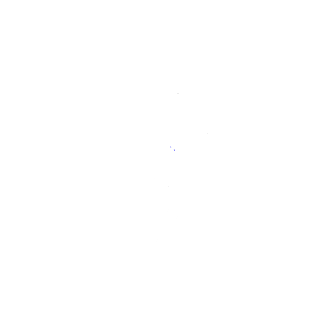 CCCCC(C)OC(=O)CC(N)CC(=O)c1ccccc1-c1cccs1